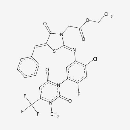 CCOC(=O)CN1C(=O)C(=Cc2ccccc2)SC1=Nc1cc(-n2c(=O)cc(C(F)(F)F)n(C)c2=O)c(F)cc1Cl